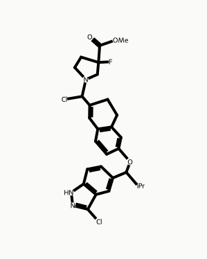 COC(=O)C1(F)CCN(C(Cl)C2=Cc3ccc(OC(c4ccc5[nH]nc(Cl)c5c4)C(C)C)cc3CC2)C1